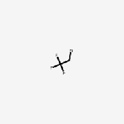 CC[CH]C(F)(F)F